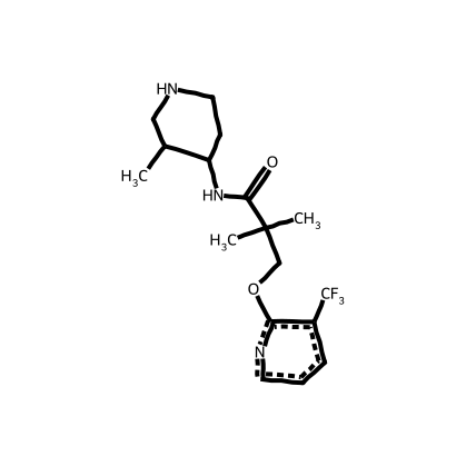 CC1CNCCC1NC(=O)C(C)(C)COc1ncccc1C(F)(F)F